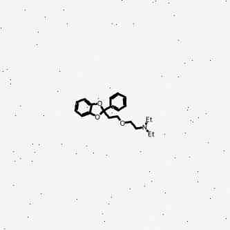 CCN(CC)CCOCCC1(c2ccccc2)Oc2ccccc2O1